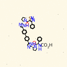 O=C(O)N[C@@H](C(=O)N1CCC[C@H]1c1ncc(-c2ccc(-c3ccc(-c4cnc([C@@H]5CCCN5C(=O)c5snnc5-c5ccccc5)[nH]4)cc3)cc2)[nH]1)c1ccccc1